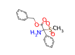 CS(=O)(=O)C(N)(C(=O)OCc1ccccc1)c1ccccc1